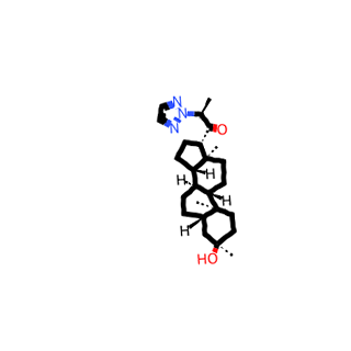 C[C@@H](C(=O)[C@H]1CC[C@H]2[C@@H]3CC[C@H]4C[C@](C)(O)CC[C@]4(C)[C@H]3CC[C@]12C)n1nccn1